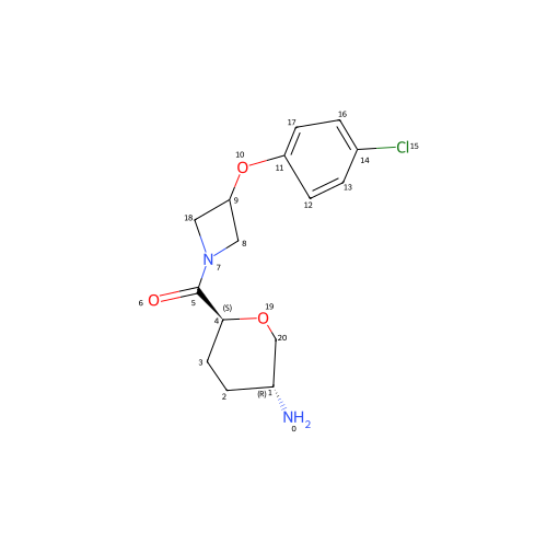 N[C@@H]1CC[C@@H](C(=O)N2CC(Oc3ccc(Cl)cc3)C2)OC1